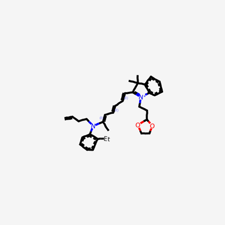 C=CCCN(/C(C)=C/C=C/C=C/C1=[N+](CCC2OCCO2)c2ccccc2C1(C)C)c1ccccc1CC